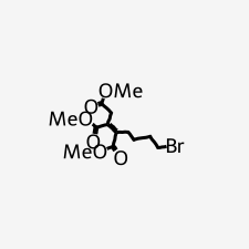 COC(=O)C/C(C(=O)OC)=C(\CCCCBr)C(=O)OC